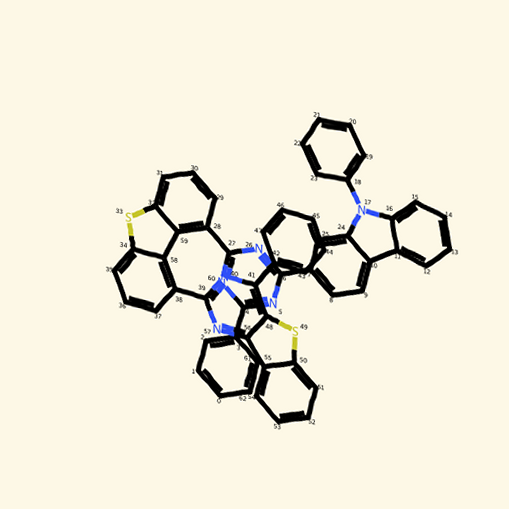 c1ccc(-c2nc(-c3ccc4c5ccccc5n(-c5ccccc5)c4c3)nc(-c3cccc4sc5cccc(-c6nc(-c7ccccc7)c7sc8ccccc8c7n6)c5c34)n2)cc1